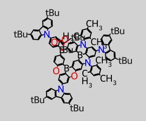 Cc1cc(C)c(N2c3cc4c(cc3B3c5cc6c(cc5N(c5c(C)cc(C)cc5C)c5cc(-n7c8ccc(C(C)(C)C)cc8c8cc(C(C)(C)C)ccc87)cc2c53)Oc2cc(-n3c5ccc(C(C)(C)C)cc5c5cc(C(C)(C)C)ccc53)cc3c2B6c2cc(C(C)(C)C)ccc2O3)B2c3cc(C(C)(C)C)ccc3Oc3cc(-n5c6ccc(C(C)(C)C)cc6c6cc(C(C)(C)C)ccc65)cc(c32)O4)c(C)c1